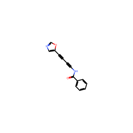 O=C(NC#CC#Cc1cnco1)c1ccccc1